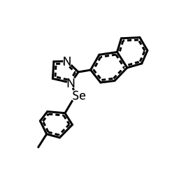 Cc1ccc([Se]n2ccnc2-c2ccc3ccccc3c2)cc1